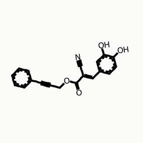 N#C/C(=C\c1ccc(O)c(O)c1)C(=O)OCC#Cc1ccccc1